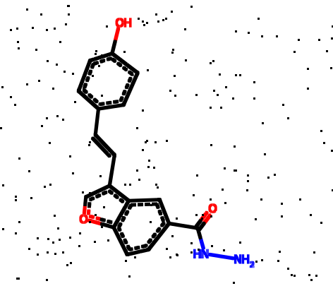 NNC(=O)c1ccc2occ(C=Cc3ccc(O)cc3)c2c1